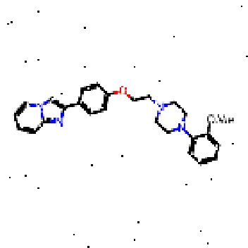 COc1ccccc1N1CCN(CCOc2ccc(-c3cn4ccccc4n3)cc2)CC1